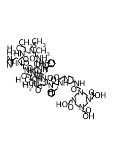 CSCN(C[C@H](CC(C)C)NC(=O)[C@H](Cc1cnc[nH]1)NC(=O)CNC(=O)[C@@H](NC(=O)[C@H](C)NC(=O)[C@H](Cc1c[nH]c2ccccc12)NC(=O)[C@H](CCC(N)=O)NC(=O)[C@@H](Cc1ccccc1)NC(=O)CN1CCC(NC(=O)CN2CCN(CC(=O)O)CCN(CC(=O)O)CCN(CC(=O)O)CC2)CC1)C(C)(C)C)[C@@H](C)C(N)=O